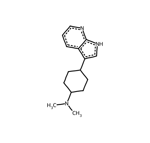 CN(C)C1CCC(c2c[nH]c3ncccc23)CC1